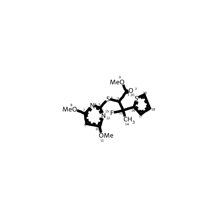 COC(=O)C(Sc1nc(OC)cc(OC)n1)C(C)(F)c1cccs1